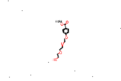 CCCCOC(=O)c1ccc(OCCOCCOCCO)cc1